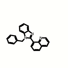 c1ccc(Cn2c(-c3cccc4cccnc34)nc3ccccc32)cc1